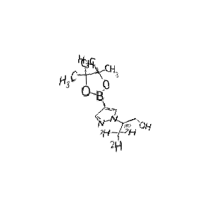 [2H]C([2H])([2H])[C@H](CO)n1cc(B2OC(C)(C)C(C)(C)O2)cn1